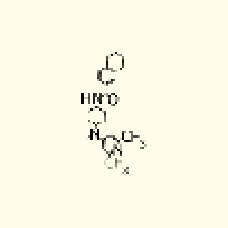 CN(c1cc(C(F)(F)F)nc(C(F)(F)F)c1)[C@H]1CC[C@@H](NC(=O)c2ccc3c(c2)CCCC3)CC1